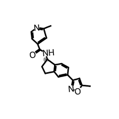 Cc1cc(C(=O)N[C@@H]2CCc3cc(-c4cc(C)on4)ccc32)ccn1